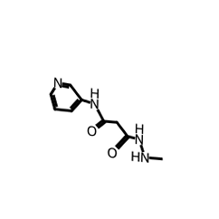 CNNC(=O)CC(=O)Nc1cccnc1